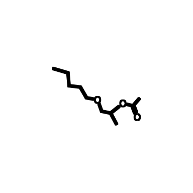 CCCCCOCC(C)OC(C)=O